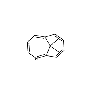 CC1(C)C2=CC=CN=C1C=CC=C2